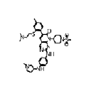 Cc1ccc(-c2cc3cnc(Nc4ccc(NC5CCN(C)C5)cc4)nc3n(C3CCN(S(C)(=O)=O)CC3)c2=O)c(SCCN(C)C)c1